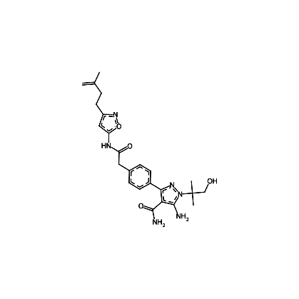 C=C(C)CCc1cc(NC(=O)Cc2ccc(-c3nn(C(C)(C)CO)c(N)c3C(N)=O)cc2)on1